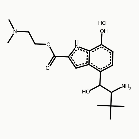 CN(C)CCOC(=O)c1cc2c(C(O)C(N)C(C)(C)C)ccc(O)c2[nH]1.Cl